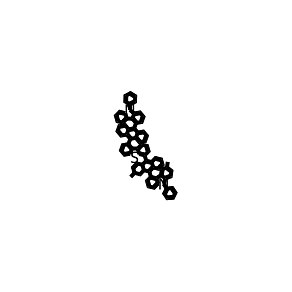 Cc1ccc2c(c1)c1c(C3=c4ccccc4=C(c4cccc5c4sc4cccc(-c6c7ccccc7c(-c7cccc8c7c7ccccc7n8-c7ccccc7)c7ccccc67)c45)C4C=CC(C)CC34)cccc1n2-c1ccccc1